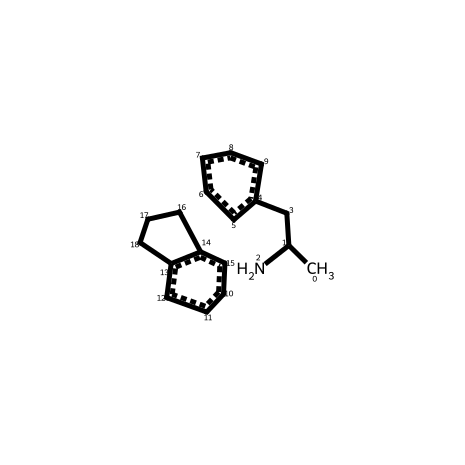 CC(N)Cc1ccccc1.c1ccc2c(c1)CCC2